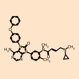 Cc1ccc(-n2c(=O)n(-c3ccc(Oc4ccccc4)cc3)c3c(N)ncnc32)cc1N(C)C(=O)/C=C/CN(C)C1CC1